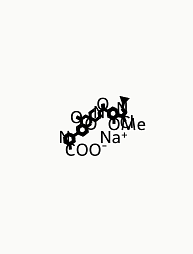 COc1cc(C(=O)N2CCC3(CC2)CC(=O)c2cc(-c4cncc(C(=O)[O-])c4)ccc2O3)cc2c1c(Cl)cn2C1CC1.[Na+]